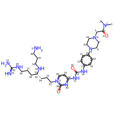 CN(C)C(=O)CN1CCN(c2ccc(NC(=O)Nc3ccn(CCC[C@H](CCCNC(=N)N)NCCCN)c(=O)n3)cc2)CC1